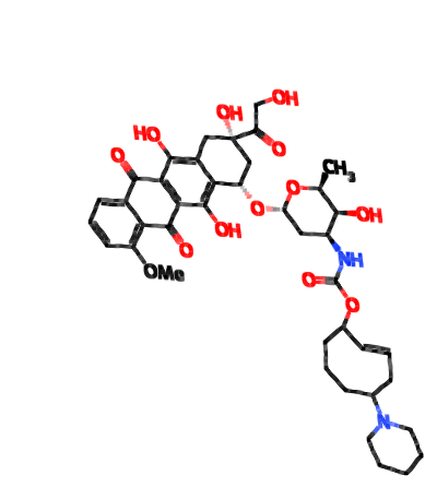 COc1cccc2c1C(=O)c1c(O)c3c(c(O)c1C2=O)C[C@@](O)(C(=O)CO)C[C@@H]3O[C@H]1C[C@H](NC(=O)OC2/C=C/CC(N3CCCCC3)CCC2)[C@H](O)[C@H](C)O1